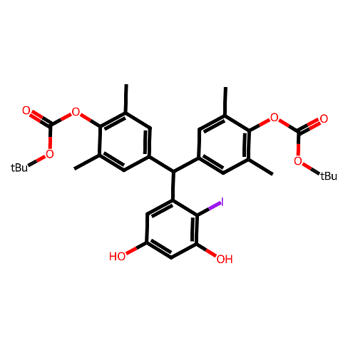 Cc1cc(C(c2cc(C)c(OC(=O)OC(C)(C)C)c(C)c2)c2cc(O)cc(O)c2I)cc(C)c1OC(=O)OC(C)(C)C